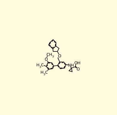 COc1cc(-c2ccc(NC3(C(=O)O)CC3)cc2COC2Cc3ccccc3C2)cc(C)c1C